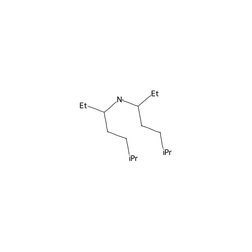 CCC(CCC(C)C)[N]C(CC)CCC(C)C